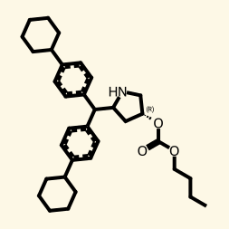 CCCCOC(=O)O[C@H]1CNC(C(c2ccc(C3CCCCC3)cc2)c2ccc(C3CCCCC3)cc2)C1